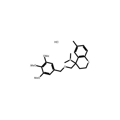 COc1cc(COCC2(N(C)C)CCSc3ccc(C)cc32)cc(OC)c1OC.Cl